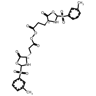 Cc1cccc(S(=O)(=O)C2N[C@@H](CCC(=O)OOC(=O)CC[C@@H]3NC(S(=O)(=O)c4cccc(C)c4)OC3=O)C(=O)O2)c1